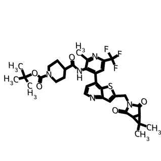 Cc1nc(C(F)(F)F)cc(-c2ccnc3cc(CN4C(=O)C5C(C4=O)C5(C)C)sc23)c1NC(=O)C1CCN(C(=O)OC(C)(C)C)CC1